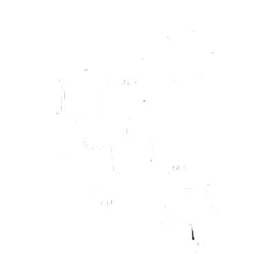 Cc1cccc(C(CCN[C@H]2CC[C@H](O)CC2)c2cn(CC3CCCCC3)c3ccccc23)c1